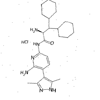 Cc1n[nH]c(C)c1-c1ccc(NC(=O)[C@@H](N)C(C2CCCCC2)C2CCCCC2)nc1N.Cl